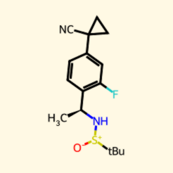 C[C@H](N[S+]([O-])C(C)(C)C)c1ccc(C2(C#N)CC2)cc1F